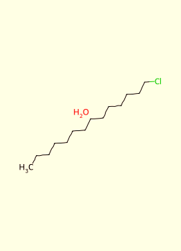 CCCCCCCCCCCCCCCl.O